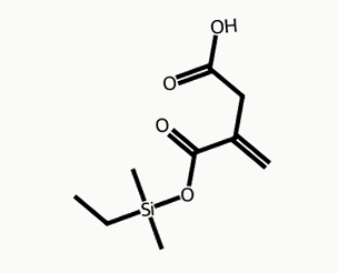 C=C(CC(=O)O)C(=O)O[Si](C)(C)CC